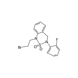 O=S1(=O)N(c2ccccc2F)Cc2ccccc2N1CCBr